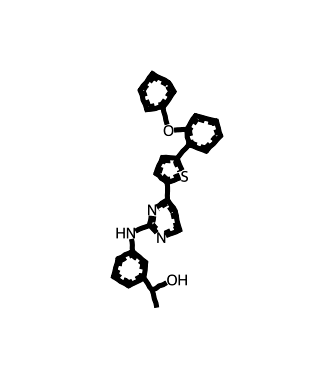 CC(O)c1cccc(Nc2nccc(-c3ccc(-c4ccccc4Oc4ccccc4)s3)n2)c1